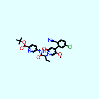 CCC(C(=O)Nc1ccc(C(=O)OC(C)(C)C)nc1)n1cc(OC)c(-c2cc(Cl)ccc2C#N)cc1=O